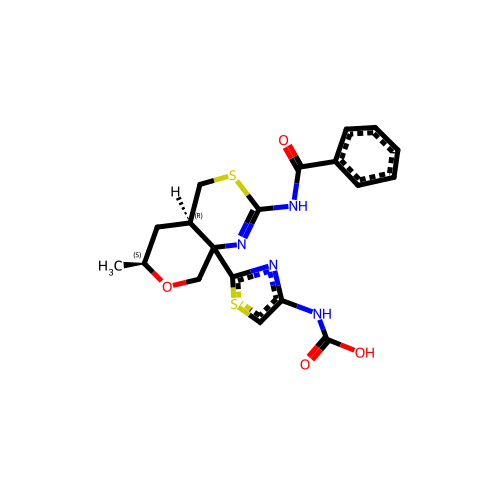 C[C@H]1C[C@H]2CSC(NC(=O)c3ccccc3)=NC2(c2nc(NC(=O)O)cs2)CO1